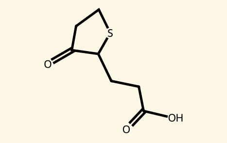 O=C(O)CCC1SCCC1=O